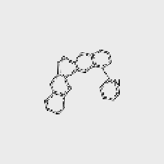 c1ccc(-c2cccc3cc4ccc5cc6ccccc6cc5c4cc23)nc1